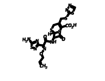 C=CCON=C(C(=O)NC1C(=O)N2C(C(=O)O)=C(CSc3nncs3)CS[C@@H]12)c1nsc(N)n1